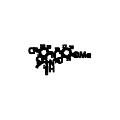 C#CC1(C2CC2)NC(=O)N(Cc2ccc(OC)cc2)c2ccc(Cl)cc21